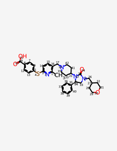 Cc1nc(Sc2ccc(C(=O)O)cc2)ccc1CN1CCC(N2C(=O)N(CC3CCOCC3)C[C@H]2c2ccccc2)CC1